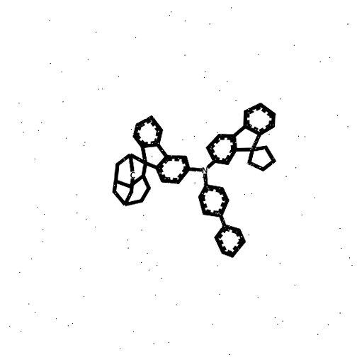 c1ccc(-c2ccc(N(c3ccc4c(c3)-c3ccccc3C43C4CCC5CCC3CC(C5)C4)c3ccc4c(c3)C3(CCCC3)c3ccccc3-4)cc2)cc1